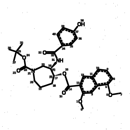 COc1cc2c(OC)cccc2cc1C(=O)O[C@@H]1CCCN(C(=O)OC(C)(C)C)C[C@H]1NC(=O)c1ccc(O)cc1